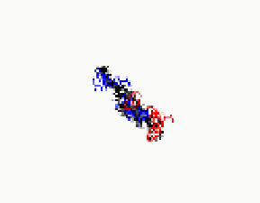 CCOC(=O)CC(C(=O)O)N1CCN(CC2CN(c3ccc(C(=N)Nc4cccnc4)cc3)C(=O)O2)CC1